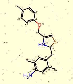 Cc1ccc(OCC2=CSC(Cc3cc(C)c(N)cc3C)N2)cc1